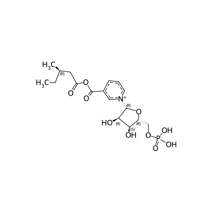 CC[C@@H](C)CC(=O)OC(=O)c1ccc[n+]([C@@H]2O[C@H](COP(=O)(O)O)[C@@H](O)[C@H]2O)c1